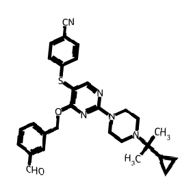 CC(C)(C1CC1)N1CCN(c2ncc(Sc3ccc(C#N)cc3)c(OCc3cccc(C=O)c3)n2)CC1